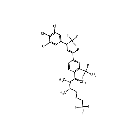 C=C(c1ccc(/C(F)=C/C(c2cc(Cl)c(Cl)c(Cl)c2)C(F)(F)F)cc1C(C)(F)F)N(C)C(C)CSCC(F)(F)F